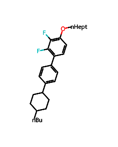 CCCCCCCOc1ccc(-c2ccc(C3CCC(CCCC)CC3)cc2)c(F)c1F